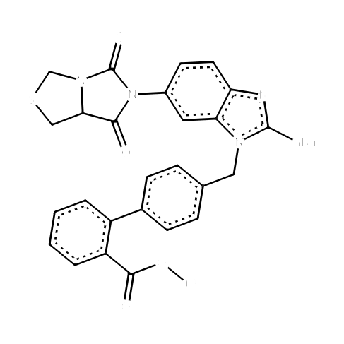 CCCCc1nc2ccc(N3C(=O)C4CSCN4C3=O)cc2n1Cc1ccc(-c2ccccc2C(=O)OC(C)(C)C)cc1